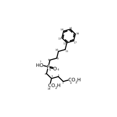 O=C(O)CCC(CP(=O)(O)CCCCc1ccccc1)C(=O)O